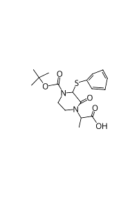 CC(C(=O)O)N1CCN(C(=O)OC(C)(C)C)C(Sc2ccccc2)C1=O